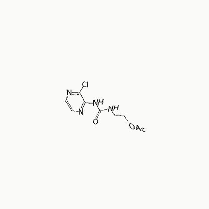 CC(=O)OCCNC(=O)Nc1nccnc1Cl